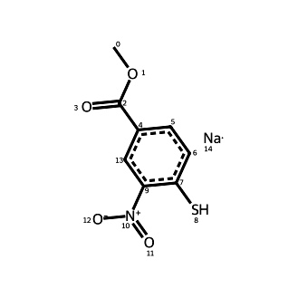 COC(=O)c1ccc(S)c([N+](=O)[O-])c1.[Na]